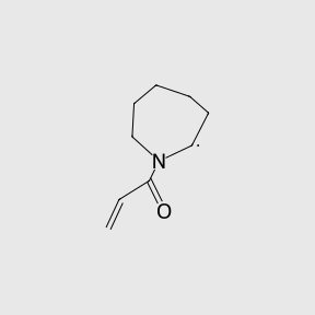 C=CC(=O)N1[CH]CCCCC1